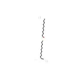 CCCCCCCCCCCC(=O)OCCCCCCCCCCC(C)CC